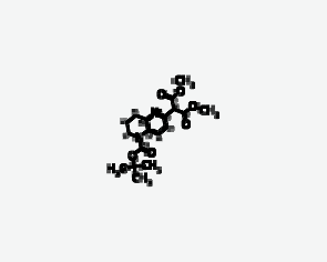 COC(=O)C(C(=O)OC)c1ccc2c(n1)CCCN2C(=O)OC(C)(C)C